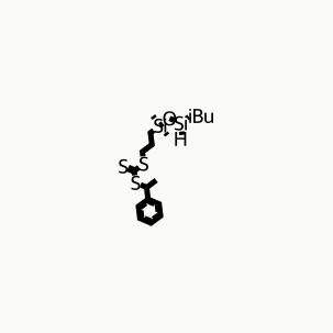 CCC(C)[SiH](C)O[Si](C)(C)CCCSC(=S)SC(C)c1ccccc1